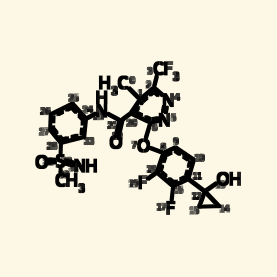 Cc1c(C(F)(F)F)nnc(Oc2ccc(C3(O)CC3)c(F)c2F)c1C(=O)Nc1cccc(S(C)(=N)=O)c1